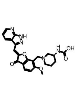 COc1ccc2c(c1CN1CCC[C@H](NC(=O)O)C1)O/C(=C\c1n[nH]c3ncccc13)C2=O